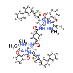 CN[C@@H](C)C(=O)N[C@H](C(=O)N1C[C@@H](NC(=O)c2ccc(C(=O)N[C@H]3C[C@@H](c4nc(-c5cccc(-c6ccccc6)c5)cs4)N(C(=O)[C@@H](NC(=O)[C@H](C)NC)C4CCCCC4)C3)cc2)C[C@H]1c1nc(-c2cccc(-c3ccccc3)c2)cs1)C1CCCCC1